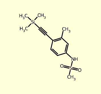 Cc1cc(NS(C)(=O)=O)ccc1C#C[Si](C)(C)C